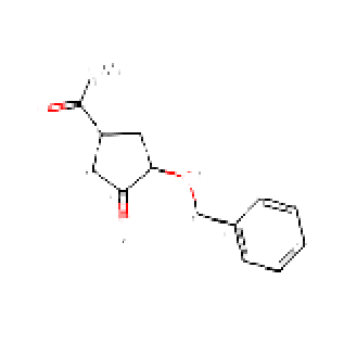 COC(=O)C1CC(=O)C(OCc2ccccc2)C1